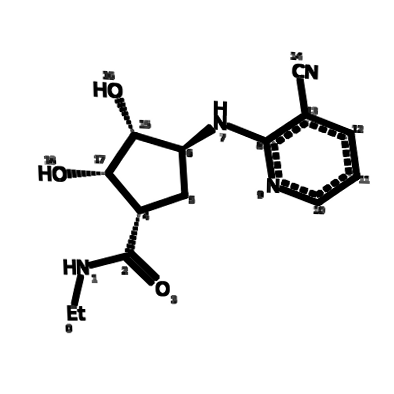 CCNC(=O)[C@H]1C[C@H](Nc2ncccc2C#N)[C@@H](O)[C@H]1O